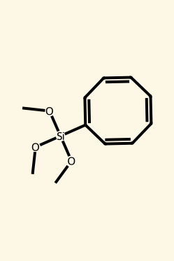 CO[Si](OC)(OC)C1=CC=CC=CC=C1